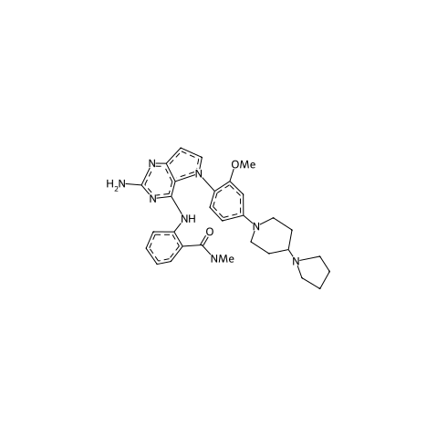 CNC(=O)c1ccccc1Nc1nc(N)nc2ccn(-c3ccc(N4CCC(N5CCCC5)CC4)cc3OC)c12